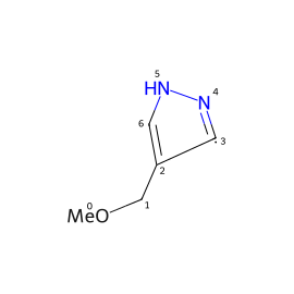 COCc1[c]n[nH]c1